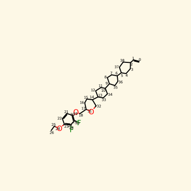 C=CC1CCC(C2CCC(C3CCC(C4CCC(COc5ccc(OCC)c(F)c5F)OC4)CC3)CC2)CC1